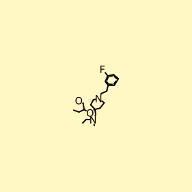 CCC(C=O)OC1(CN(C)CC)CCN(CCc2cccc(F)c2)CC1